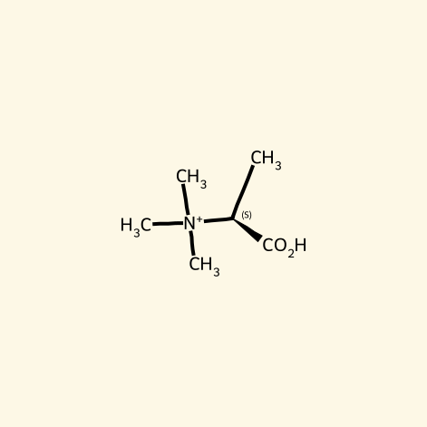 C[C@@H](C(=O)O)[N+](C)(C)C